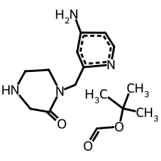 CC(C)(C)OC=O.Nc1ccnc(CN2CCNCC2=O)c1